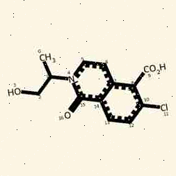 CC(CO)n1ccc2c(C(=O)O)c(Cl)ccc2c1=O